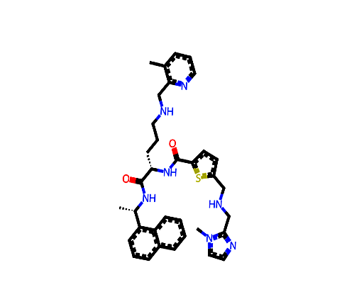 Cc1cccnc1CNCCC[C@H](NC(=O)c1ccc(CNCc2nccn2C)s1)C(=O)N[C@@H](C)c1cccc2ccccc12